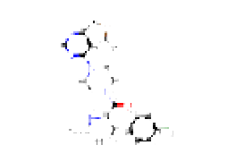 CC1SCc2ncnc(N3CCN(C(=O)[C@H](NC(=O)O)C(c4ccc(Cl)cc4)C(C)(C)C)CC3)c21